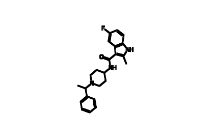 Cc1[nH]c2ccc(F)cc2c1C(=O)NC1CCN(C(C)c2ccccc2)CC1